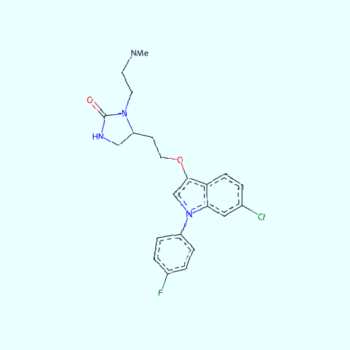 CNCCN1C(=O)NCC1CCOc1cn(-c2ccc(F)cc2)c2cc(Cl)ccc12